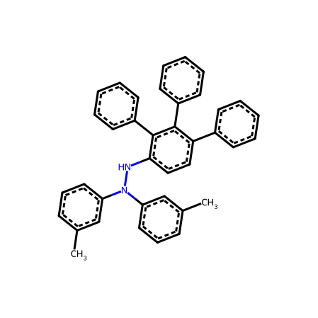 Cc1cccc(N(Nc2ccc(-c3ccccc3)c(-c3ccccc3)c2-c2ccccc2)c2cccc(C)c2)c1